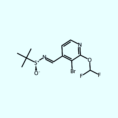 CC(C)(C)[S@+]([O-])/N=C/c1ccnc(OC(F)F)c1Br